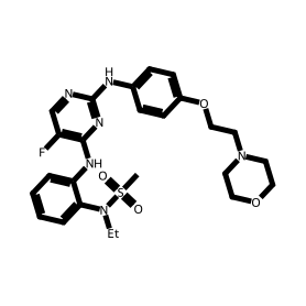 CCN(c1ccccc1Nc1nc(Nc2ccc(OCCN3CCOCC3)cc2)ncc1F)S(C)(=O)=O